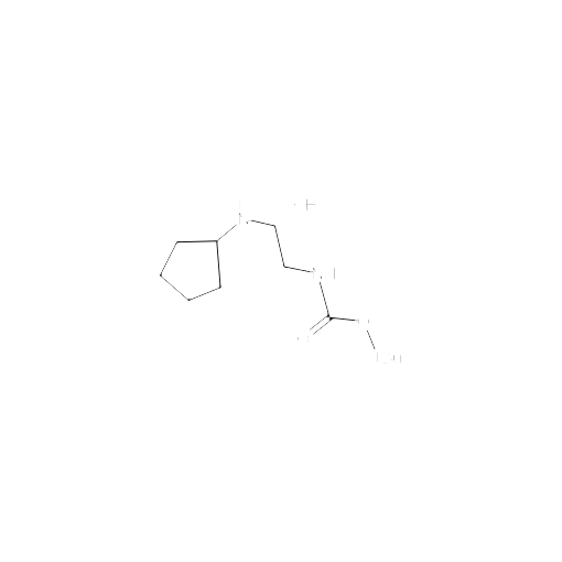 C[C@H](CNC(=O)OC(C)(C)C)NC1CCCC1